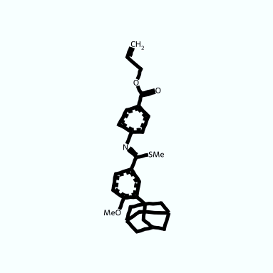 C=CCOC(=O)c1ccc(N=C(SC)c2ccc(OC)c(C34CC5CC(CC(C5)C3)C4)c2)cc1